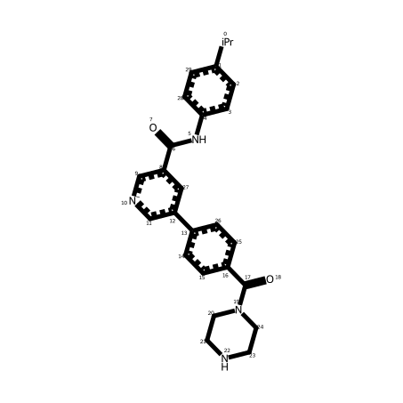 CC(C)c1ccc(NC(=O)c2cncc(-c3ccc(C(=O)N4CCNCC4)cc3)c2)cc1